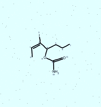 C/C=C(/I)C(CCC)OC(N)=O